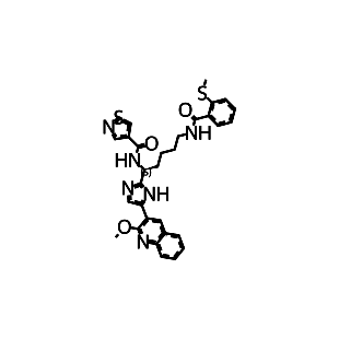 COc1nc2ccccc2cc1-c1cnc([C@H](CCCCNC(=O)c2ccccc2SC)NC(=O)c2cnsc2)[nH]1